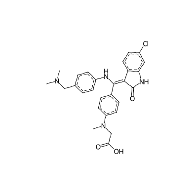 CN(C)Cc1ccc(NC(=C2C(=O)Nc3cc(Cl)ccc32)c2ccc(N(C)CC(=O)O)cc2)cc1